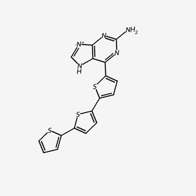 Nc1nc2c(c(-c3ccc(-c4ccc(-c5cccs5)s4)s3)n1)NC=[N+]2